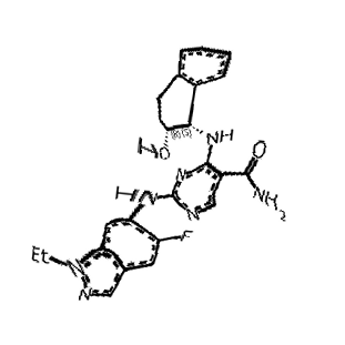 CCn1ncc2cc(F)c(Nc3ncc(C(N)=O)c(N[C@H]4c5ccccc5C[C@H]4O)n3)cc21